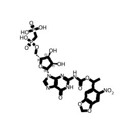 CC(OC(=O)Nc1nc2c(ncn2[C@@H]2O[C@H](COP(=O)(O)CP(=O)(O)O)[C@@H](O)[C@H]2O)c(=O)[nH]1)c1cc2c(cc1[N+](=O)[O-])OCO2